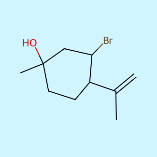 C=C(C)C1CCC(C)(O)CC1Br